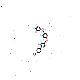 CC1CCC(c2ccc(C(F)(F)Oc3ccc(C(F)(F)Oc4cc(F)c(F)c(F)c4)c(F)c3F)c(F)c2F)CC1